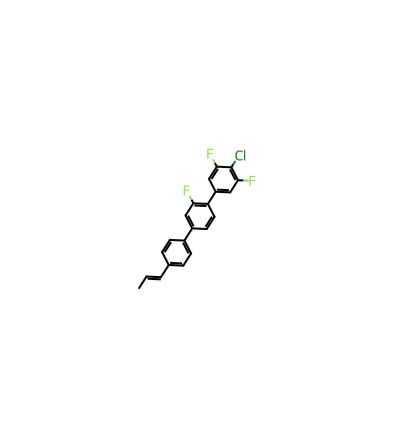 CC=Cc1ccc(-c2ccc(-c3cc(F)c(Cl)c(F)c3)c(F)c2)cc1